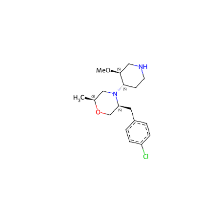 CO[C@H]1CNCC[C@@H]1N1C[C@H](C)OC[C@@H]1Cc1ccc(Cl)cc1